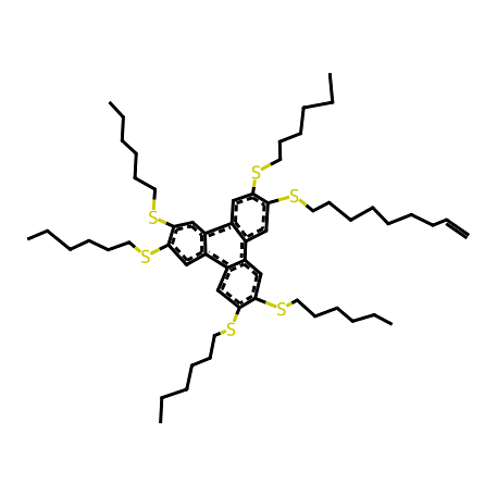 C=CCCCCCCCSc1cc2c3cc(SCCCCCC)c(SCCCCCC)cc3c3cc(SCCCCCC)c(SCCCCCC)cc3c2cc1SCCCCCC